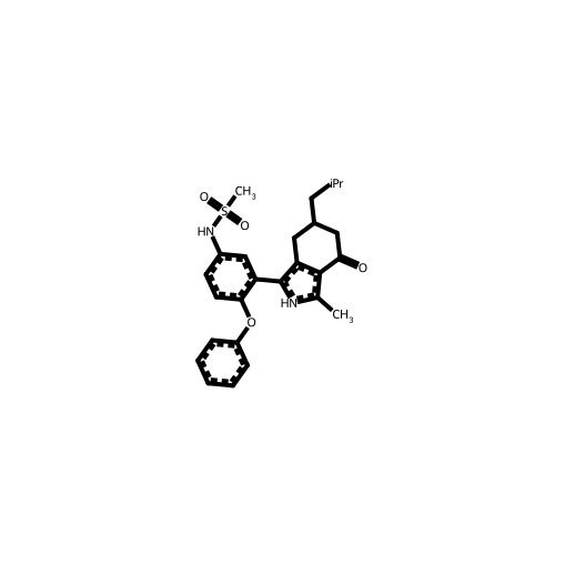 Cc1[nH]c(-c2cc(NS(C)(=O)=O)ccc2Oc2ccccc2)c2c1C(=O)CC(CC(C)C)C2